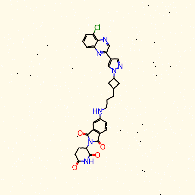 O=C1CCC(N2C(=O)c3ccc(NCCCC4CC(n5cc(-c6cnc7c(Cl)cccc7n6)cn5)C4)cc3C2=O)C(=O)N1